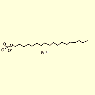 CCCCCCCCCCCCCCCCCCOP(=O)([O-])[O-].[Fe+2]